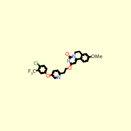 COc1ccc2c(c1)CCn1c-2cc(OCCc2ccc(Oc3ccc(Cl)c(C(F)(F)F)c3)cn2)nc1=O